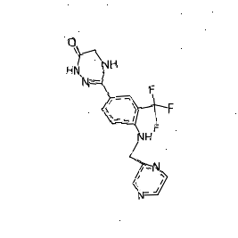 O=C1CNC(c2ccc(NCc3cnccn3)c(C(F)(F)F)c2)=NN1